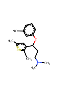 Cc1cc(C(CCN(C)C)Oc2cccc(C#N)c2)c(C)s1